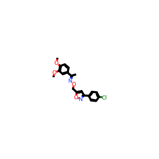 COc1ccc(/C(C)=N/OCc2cc(-c3ccc(Cl)cc3)no2)cc1OC